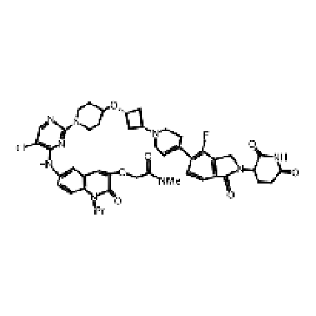 CNC(=O)COc1cc2cc(Nc3nc(N4CCC(O[C@H]5C[C@H](N6CC=C(c7ccc8c(c7F)CN(C7CCC(=O)NC7=O)C8=O)CC6)C5)CC4)ncc3Cl)ccc2n(C(C)C)c1=O